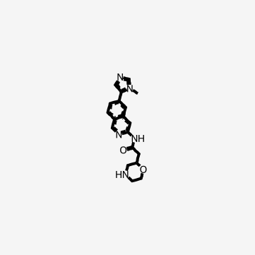 Cn1cncc1-c1ccc2cnc(NC(=O)CC3CNCCO3)cc2c1